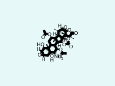 CC(=O)O[C@H]1[C@@H]2[C@H]([C@H](C)[C@H]3O[C@]34OC(=O)[C@@](C)(O)[C@]24C)[C@@]2(C)[C@@H](OC(C)=O)CC3C([C@@H](OC(C)=O)[C@@H](N)[C@@]4(O)C[C@@H]5O[C@@H]5[C@H](O)[C@]34C)[C@H]12